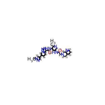 Cc1ncc(NC(=O)CN2CCc3cccnc3C2)cc1NC(=O)c1nnn2cc(-c3cnn(C)c3)ccc12